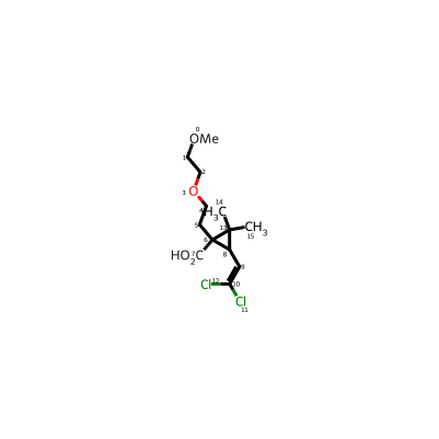 COCCOCCC1(C(=O)O)C(C=C(Cl)Cl)C1(C)C